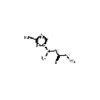 CN(NC(=S)NN)n1cnc(N)n1